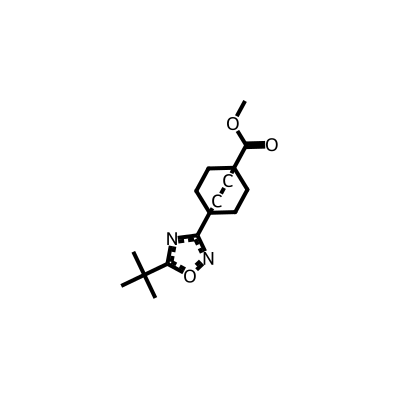 COC(=O)C12CCC(c3noc(C(C)(C)C)n3)(CC1)CC2